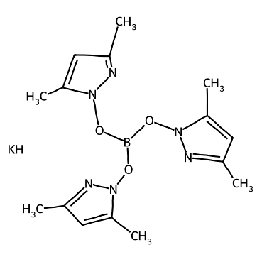 Cc1cc(C)n(OB(On2nc(C)cc2C)On2nc(C)cc2C)n1.[KH]